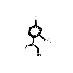 CC(C)CN(C)c1ccc(F)cc1[N+](=O)[O-]